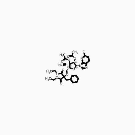 C#C[C@@]1(OC(C)=O)[C@@H](COC(Cc2ccccc2)(C(=O)OCC)C(=O)OCC)O[C@@H](n2cnc3ccc(Cl)nc32)[C@@H]1OC(C)=O